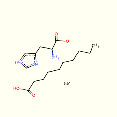 CCCCCCCCCC(=O)O.N[C@@H](Cc1c[nH]cn1)C(=O)[O-].[Na+]